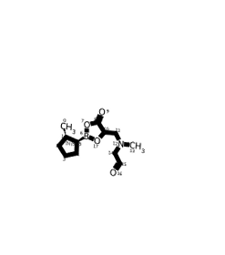 C[C@H]1CCC[C@@H]1B1OC(=O)C(CN(C)CC=O)O1